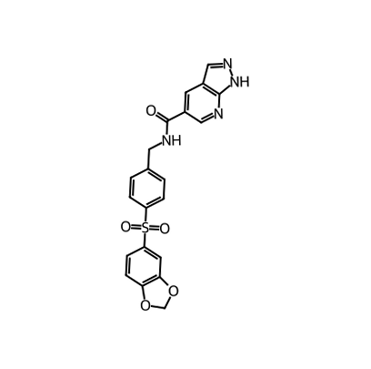 O=C(NCc1ccc(S(=O)(=O)c2ccc3c(c2)OCO3)cc1)c1cnc2[nH]ncc2c1